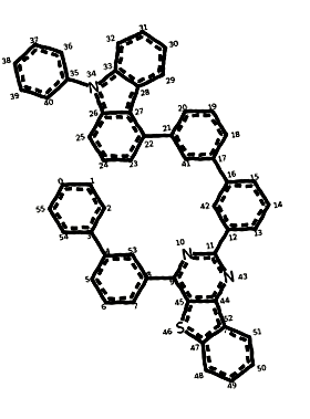 c1ccc(-c2cccc(-c3nc(-c4cccc(-c5cccc(-c6cccc7c6c6ccccc6n7-c6ccccc6)c5)c4)nc4c3sc3ccccc34)c2)cc1